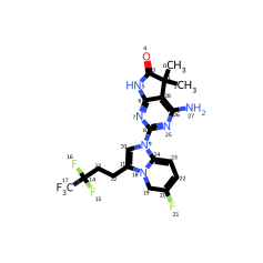 CC1(C)C(=O)Nc2nc(N3C=C(CCC(F)(F)C(F)(F)F)N4CC(F)=CC=C43)nc(N)c21